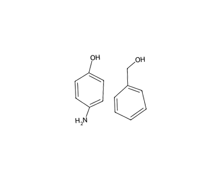 Nc1ccc(O)cc1.OCc1ccccc1